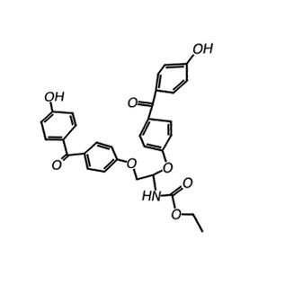 CCOC(=O)NC(COc1ccc(C(=O)c2ccc(O)cc2)cc1)Oc1ccc(C(=O)c2ccc(O)cc2)cc1